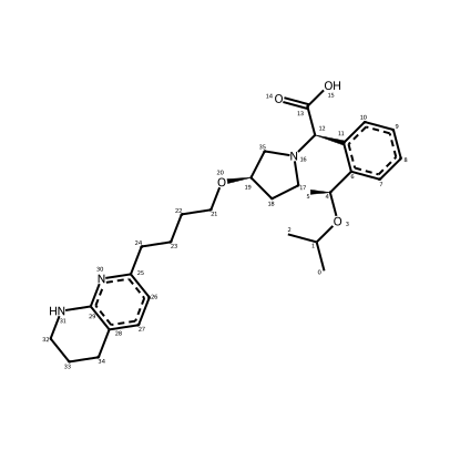 CC(C)O[C@@H](C)c1ccccc1[C@H](C(=O)O)N1CC[C@@H](OCCCCc2ccc3c(n2)NCCC3)C1